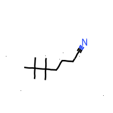 CC(C)(C)C(C)(C)CCCC#N